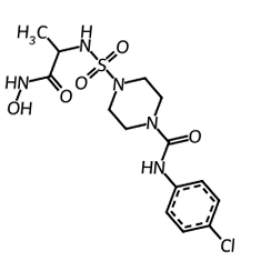 CC(NS(=O)(=O)N1CCN(C(=O)Nc2ccc(Cl)cc2)CC1)C(=O)NO